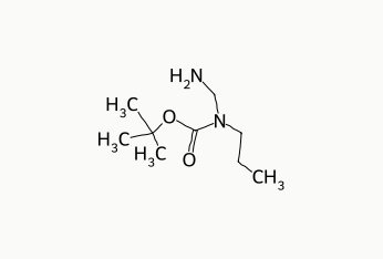 CCCN(CN)C(=O)OC(C)(C)C